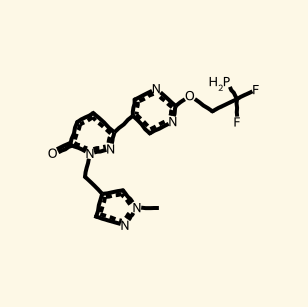 Cn1cc(Cn2nc(-c3cnc(OCC(F)(F)P)nc3)ccc2=O)cn1